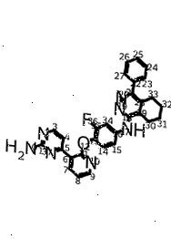 Nc1nccc(-c2cccnc2Oc2ccc(Nc3nnc(-c4ccccc4)c4c3CCCC4)cc2F)n1